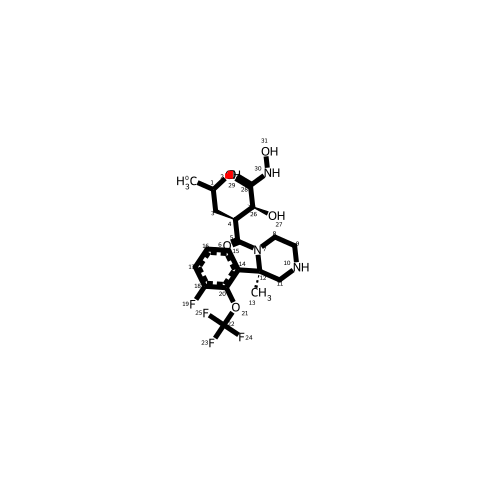 CC(C)C[C@H](C(=O)N1CCNC[C@@]1(C)c1cccc(F)c1OC(F)(F)F)[C@H](O)C(=O)NO